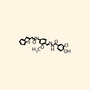 COc1cc(NC(=O)Cc2cc3ccccc3s2)ccc1/C=N/NC(=O)c1ccc(O)c(Cl)c1